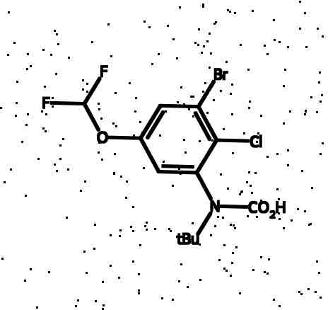 CC(C)(C)N(C(=O)O)c1cc(OC(F)F)cc(Br)c1Cl